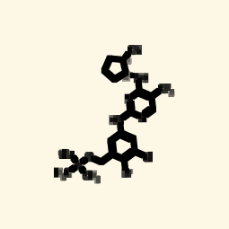 CC(C)(C)[Si](C)(C)OCc1cc(Nc2ncc(C(F)(F)F)c(N[C@@H]3CCC[C@H]3C#N)n2)cc(Cl)c1Br